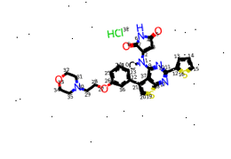 CN(C1=CC(=O)NC1=O)c1nc(-c2cccs2)nc2scc(-c3cccc(OCCN4CCOCC4)c3)c12.Cl